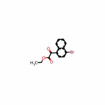 CCOC(=O)C(=O)c1ccc(Br)c2ccccc12